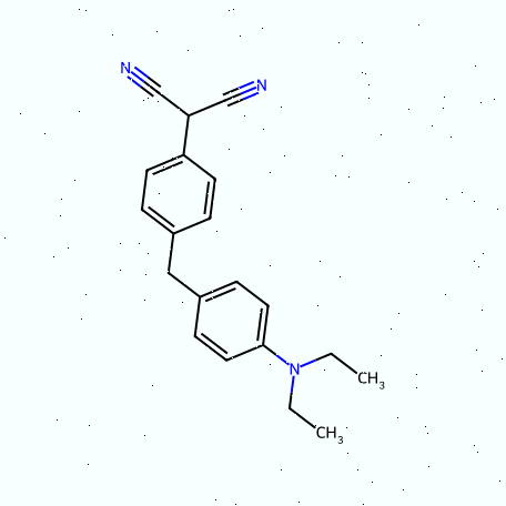 CCN(CC)c1ccc(Cc2ccc(C(C#N)C#N)cc2)cc1